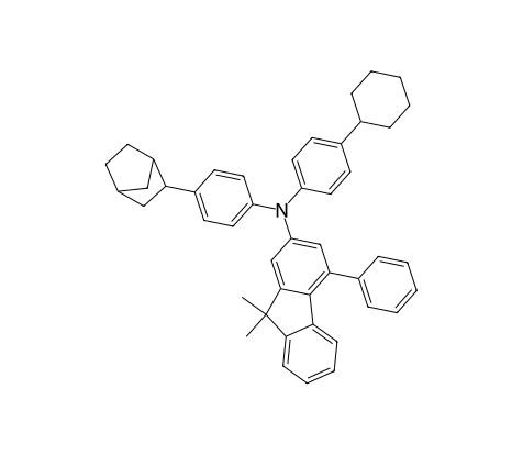 CC1(C)c2ccccc2-c2c(-c3ccccc3)cc(N(c3ccc(C4CCCCC4)cc3)c3ccc(C4CC5CCC4C5)cc3)cc21